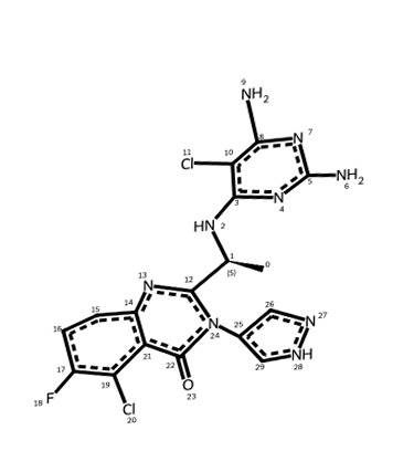 C[C@H](Nc1nc(N)nc(N)c1Cl)c1nc2ccc(F)c(Cl)c2c(=O)n1-c1cn[nH]c1